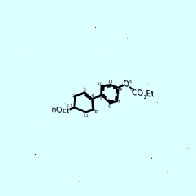 CCCCCCCCC1CC=C(c2ccc(OC(=O)OCC)cc2)CC1